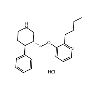 CCCCc1ncccc1OC[C@H]1CNCC[C@@H]1c1ccccc1.Cl